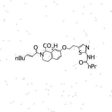 CCCCC=CC(=O)N1CCc2ccc(OCCc3cnc(NC(=O)CCC)s3)cc2C1C(=O)O